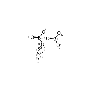 [O-]B([O-])[O-].[O-]B([O-])[O-].[S+2].[S+2].[S+2]